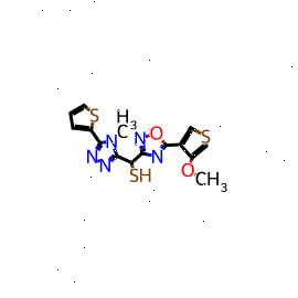 COc1cscc1-c1nc(C(S)c2nnc(-c3cccs3)n2C)no1